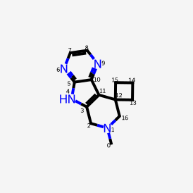 CN1Cc2[nH]c3nccnc3c2C2(CCC2)C1